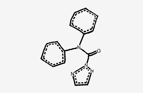 O=C(N(c1ccccc1)c1ccccc1)n1nccn1